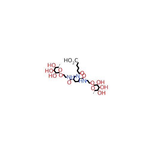 C[C@@H]1O[C@@H](OCCNC(=O)[C@@H]2CC[C@H](C(=O)NCCO[C@@H]3O[C@@H](C)[C@@H](O)[C@H](O)[C@H]3O)N(C(=O)CCCCC(=O)O)C2)[C@H](O)[C@@H](O)[C@@H]1O